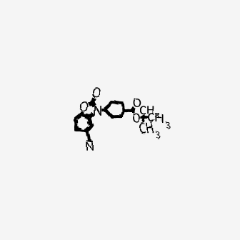 CC(C)(C)OC(=O)C1CCC(n2c(=O)oc3ccc(C#N)cc32)CC1